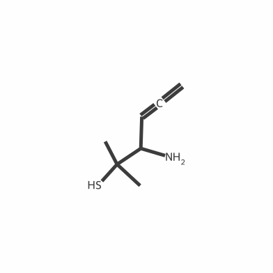 C=C=CC(N)C(C)(C)S